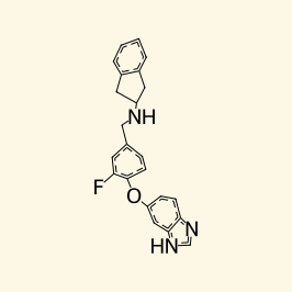 Fc1cc(CNC2Cc3ccccc3C2)ccc1Oc1ccc2nc[nH]c2c1